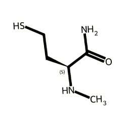 CN[C@@H](CCS)C(N)=O